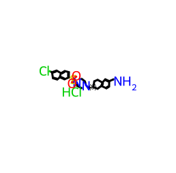 Cl.NCc1ccc2c(c1)CC[C@H](CN1CCN(S(=O)(=O)c3ccc4cc(Cl)ccc4c3)CC1)C2